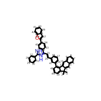 CC1(C)c2cc3ccccc3cc2-c2c(-c3cccc(/C=C/C(NC(N)c4ccccc4)c4ccc(-c5cc6ccccc6o5)cc4)c3)cccc21